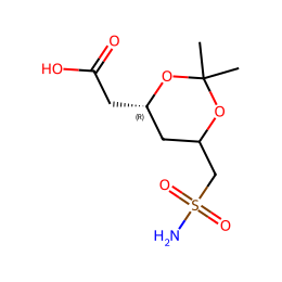 CC1(C)OC(CS(N)(=O)=O)C[C@H](CC(=O)O)O1